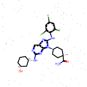 C[C@]1(C(N)=O)CC[C@@H](n2c(Nc3c(F)cc(F)cc3F)nc3cnc(N[C@H]4CCC[C@@H](O)C4)nc32)CC1